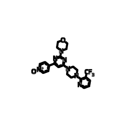 [O-][n+]1ccc(-c2cc(N3CCN(c4ncccc4C(F)(F)F)CC3)nc(N3CCOCC3)n2)cc1